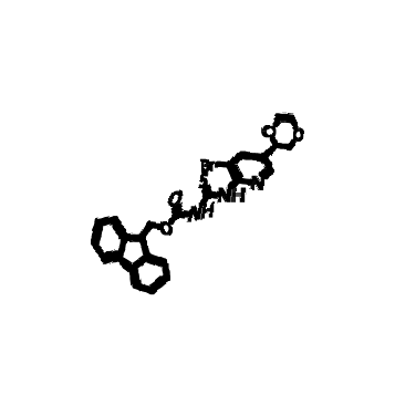 O=C(NC(=S)Nc1ncc(C2COCCO2)cc1Br)OCC1c2ccccc2-c2ccccc21